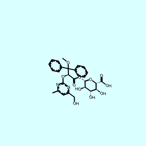 COC(c1ccccc1)(c1ccccc1)[C@H](Oc1nc(C)cc(CO)n1)C(=O)O[C@@H]1O[C@H](C(=O)O)[C@@H](O)[C@H](O)[C@H]1O